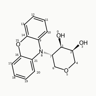 O[C@H]1[C@@H](O)COC[C@@H]1N1c2ccccc2Oc2ccccc21